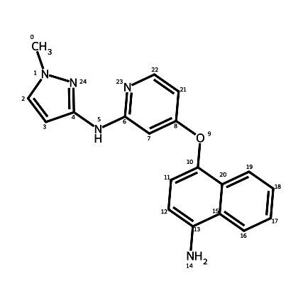 Cn1ccc(Nc2cc(Oc3ccc(N)c4ccccc34)ccn2)n1